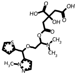 CN(C)C(COC(c1cccs1)c1ccnn1C)OC(=O)CC(O)(CC(=O)O)C(=O)O